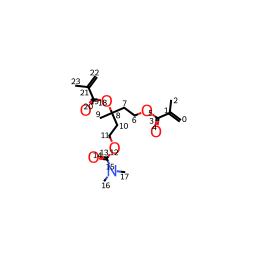 C=C(C)C(=O)OCCC(C)(CCOC(=O)N(C)C)OC(=O)C(=C)C